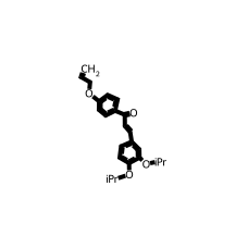 C=CCOc1ccc(C(=O)C=Cc2ccc(OC(C)C)c(OC(C)C)c2)cc1